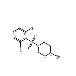 O=S(=O)(c1c(Cl)cccc1Cl)N1CCC(O)CC1